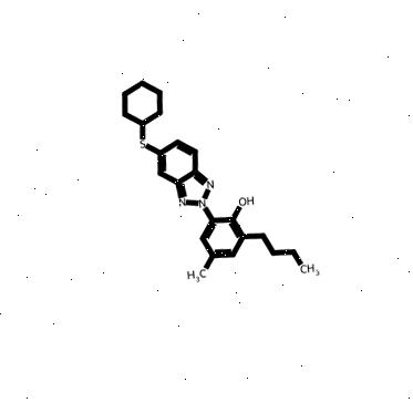 CCCCc1cc(C)cc(-n2nc3ccc(SC4CCCCC4)cc3n2)c1O